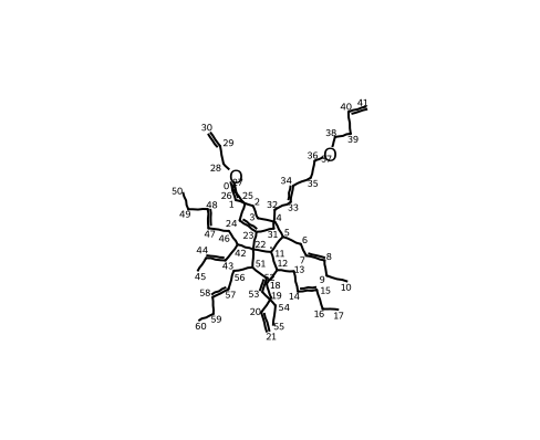 C=CCCCC(C/C=C/CC)[C](C(C/C=C/CC)CCC=C)C(/C(=C/CCOCC=C)CC/C=C/CCOCCC=C)(C(/C=C/C)C/C=C/CC)C(/C=C/CC)C/C=C/CC